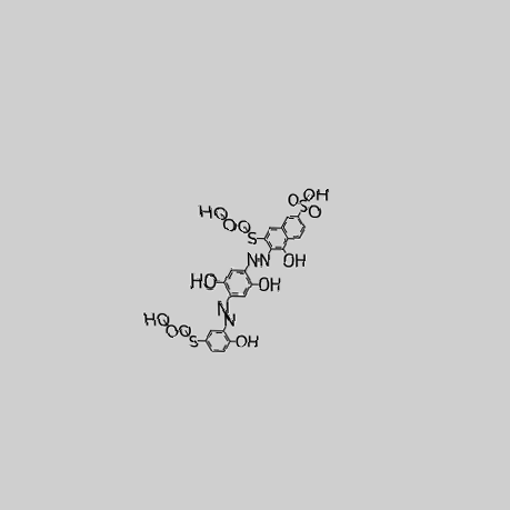 O=S(=O)(O)c1ccc2c(O)c(N=Nc3cc(O)c(N=Nc4cc(SOOO)ccc4O)cc3O)c(SOOO)cc2c1